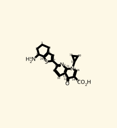 NC1CCCc2cc(-c3ccc4c(=O)c(C(=O)O)cn(C5CC5)c4n3)sc21